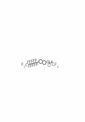 C=C(C(=O)OC1CCC2CC(C(F)(F)C(F)(F)C(F)(F)C(F)(F)C(F)(F)C(F)(F)F)CCC2C1)C(F)(F)F